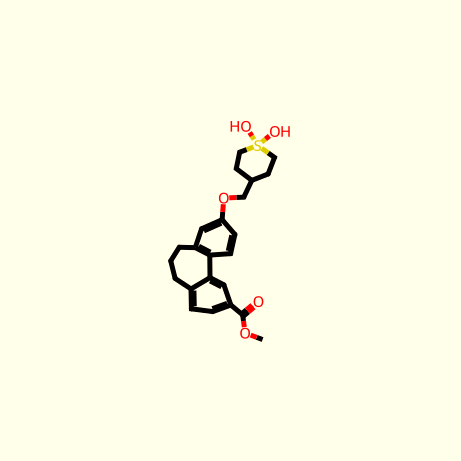 COC(=O)c1ccc2c(c1)-c1ccc(OCC3CCS(O)(O)CC3)cc1CCC2